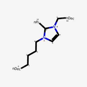 CCCCCCCCCCCCCCN1C=CN(CCCCCCCCCCC)C1CCC